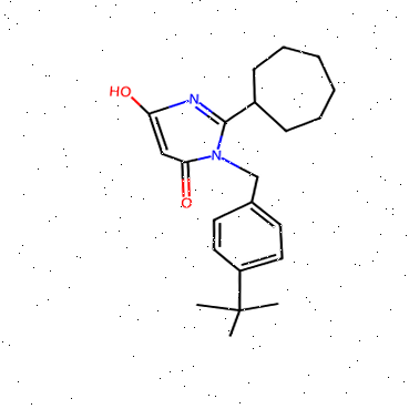 CC(C)(C)c1ccc(Cn2c(C3CCCCCC3)nc(O)cc2=O)cc1